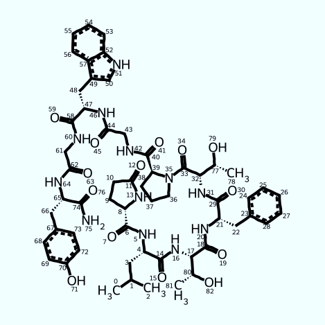 CC(C)C[C@H](NC(=O)[C@@H]1CCC(=O)N1)C(=O)N[C@H](C(=O)N[C@@H](Cc1ccccc1)C(=O)N[C@H](C(=O)N1CCC[C@H]1C(=O)NCC(=O)N[C@@H](Cc1c[nH]c2ccccc12)C(=O)NCC(=O)N[C@@H](Cc1ccc(O)cc1)C(N)=O)[C@@H](C)O)[C@@H](C)O